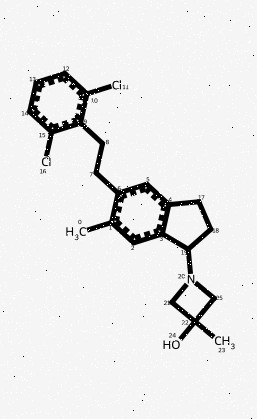 Cc1cc2c(cc1CCc1c(Cl)cccc1Cl)CCC2N1CC(C)(O)C1